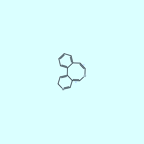 C1=NCC=C2/C1=C\O/C=C\c1ccccc12